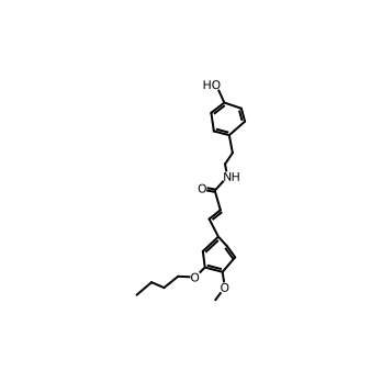 CCCCOc1cc(C=CC(=O)NCCc2ccc(O)cc2)ccc1OC